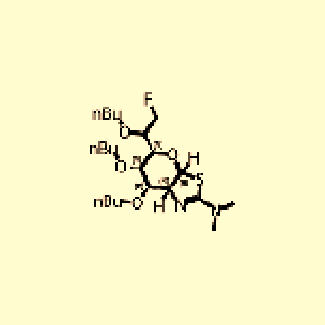 CCCCOC(CF)[C@H]1O[C@@H]2SC(N(C)C)=N[C@@H]2[C@@H](OCCCC)[C@@H]1OCCCC